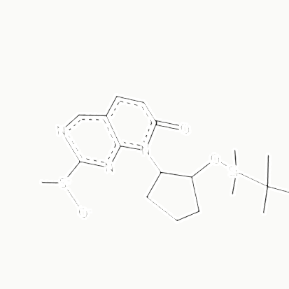 C[S+]([O-])c1ncc2ccc(=O)n(C3CCCC3O[Si](C)(C)C(C)(C)C)c2n1